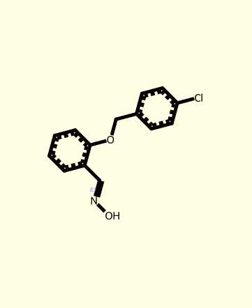 O/N=C/c1ccccc1OCc1ccc(Cl)cc1